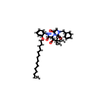 CCCCCCCCCCCCCCOc1ccccc1NC(=O)C(C(=O)C(C)(C)C)N1C(=O)CN(Cc2ccccc2)C1=O